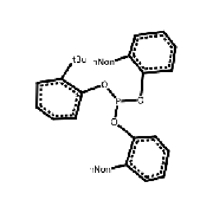 CCCCCCCCCc1ccccc1OP(Oc1ccccc1CCCCCCCCC)Oc1ccccc1C(C)(C)C